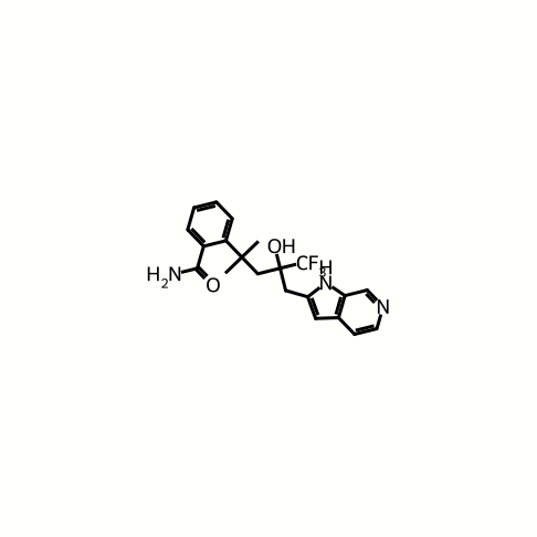 CC(C)(CC(O)(Cc1cc2ccncc2[nH]1)C(F)(F)F)c1ccccc1C(N)=O